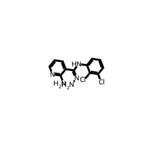 N/N=C(/Nc1cccc(Cl)c1Cl)c1cccnc1N